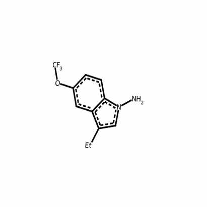 CCc1cn(N)c2ccc(OC(F)(F)F)cc12